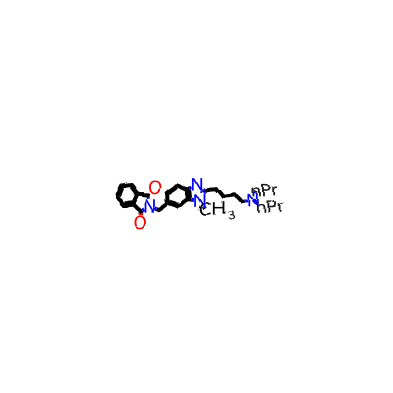 CCCN(CCC)CCCCc1nc2ccc(CN3C(=O)c4ccccc4C3=O)cc2n1C